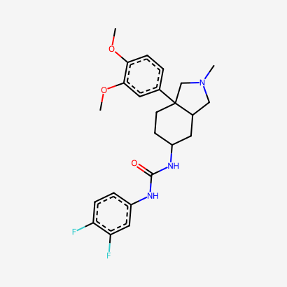 COc1ccc(C23CCC(NC(=O)Nc4ccc(F)c(F)c4)CC2CN(C)C3)cc1OC